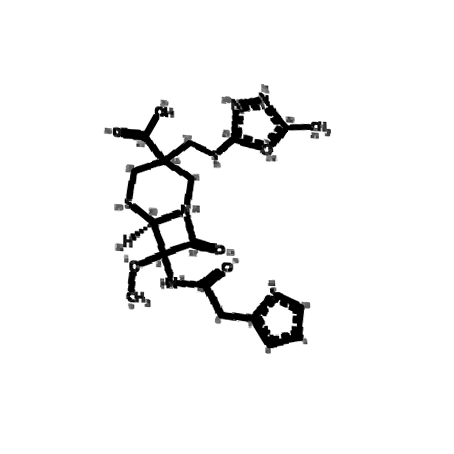 COC1(NC(=O)Cc2cccs2)C(=O)N2CC(CSc3nnc(C)o3)(C(=O)O)CS[C@@H]21